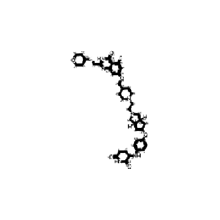 O=C1CCC(Nc2ccc(OC3C[C@@H]4CN(CCN5CCC(COc6cc(F)c7c(=O)[nH]c(CSC8CCOCC8)nc7c6)CC5)C[C@@H]4C3)cc2)C(=O)N1